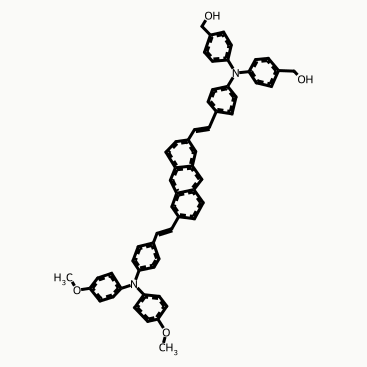 COc1ccc(N(c2ccc(C=Cc3ccc4cc5cc(C=Cc6ccc(N(c7ccc(CO)cc7)c7ccc(CO)cc7)cc6)ccc5cc4c3)cc2)c2ccc(OC)cc2)cc1